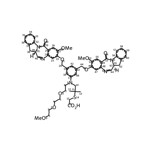 COCCOCCOCCN(CC(C)(C)SCC(=O)O)c1cc(COc2cc3c(cc2OC)C(=O)N2c4ccccc4C[C@H]2C=N3)cc(COc2cc3c(cc2OC)C(=O)N2c4ccccc4C[C@H]2C=N3)c1